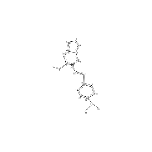 CCc1cc2cccc-2s[n+]1C=Cc1ccc(N(C)C)cc1